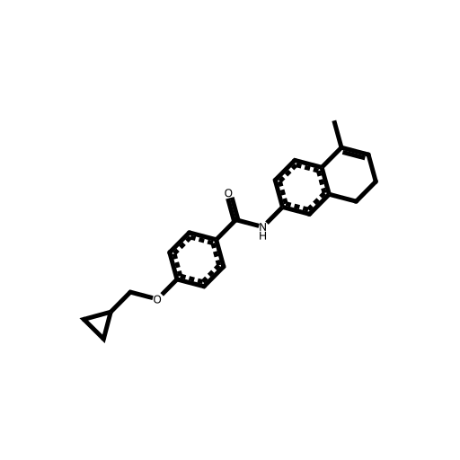 CC1=CCCc2cc(NC(=O)c3ccc(OCC4CC4)cc3)ccc21